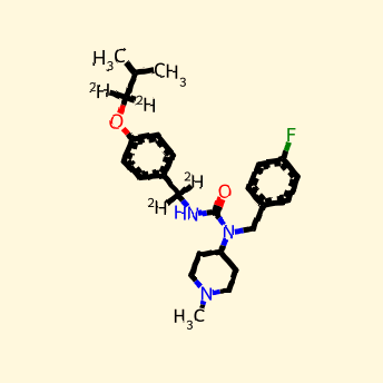 [2H]C([2H])(NC(=O)N(Cc1ccc(F)cc1)C1CCN(C)CC1)c1ccc(OC([2H])([2H])C(C)C)cc1